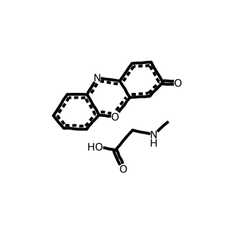 CNCC(=O)O.O=c1ccc2nc3ccccc3oc-2c1